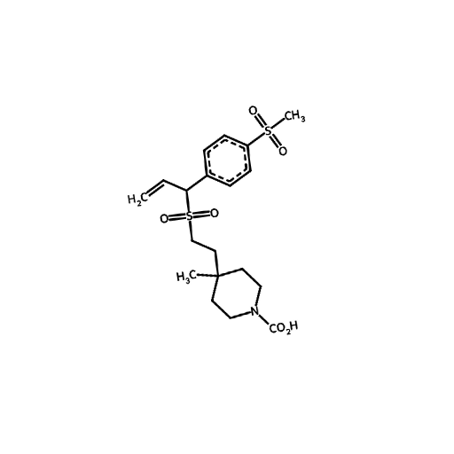 C=CC(c1ccc(S(C)(=O)=O)cc1)S(=O)(=O)CCC1(C)CCN(C(=O)O)CC1